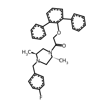 C[C@@H]1CN(Cc2ccc(F)cc2)[C@@H](C)CN1C(=O)COc1c(-c2ccccc2)cccc1-c1ccccc1